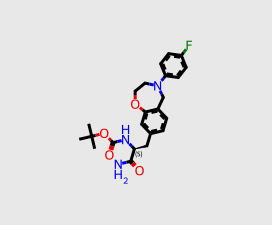 CC(C)(C)OC(=O)N[C@@H](Cc1ccc2c(c1)OCCN(c1ccc(F)cc1)C2)C(N)=O